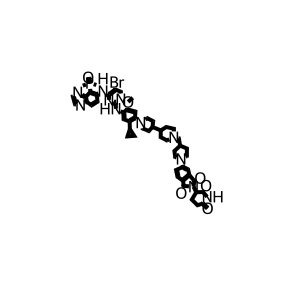 COc1cc(N2CCC(C3CCN(CC4CCN(c5ccc6c(c5)C(=O)N(C5CCC(=O)NC5=O)C6=O)CC4)CC3)CC2)c(C2CC2)cc1Nc1ncc(Br)c(Nc2ccc3nccnc3c2P(C)(C)=O)n1